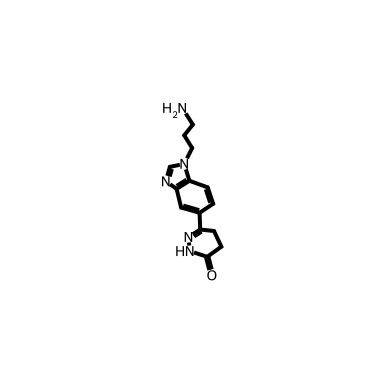 NCCCn1cnc2cc(C3=NNC(=O)CC3)ccc21